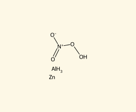 O=[N+]([O-])OO.[AlH3].[Zn]